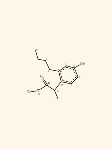 CCCCc1cc(O)ccc1C(C)C(=O)OC